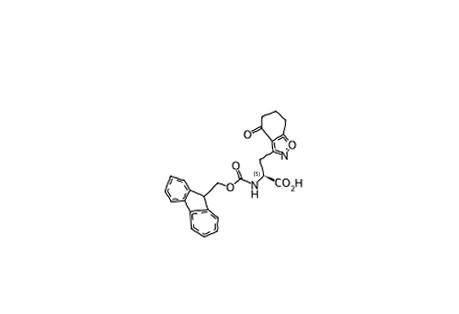 O=C(N[C@@H](Cc1noc2c1C(=O)CCC2)C(=O)O)OCC1c2ccccc2-c2ccccc21